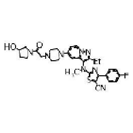 CCc1nn2ccc(N3CCN(CC(=O)N4CCC(O)C4)CC3)cc2c1N(C)c1nc(-c2ccc(F)cc2)c(C#N)s1